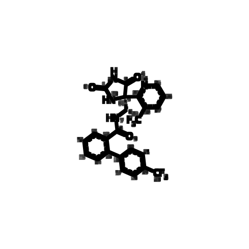 O=C1NC(=O)[C@@](CNC(=O)c2ccccc2-c2ccc(C(F)(F)F)cc2)(c2ncccc2C(F)(F)F)N1